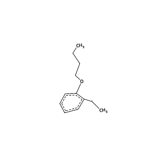 C[CH]c1ccccc1OCCCC